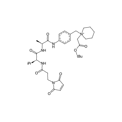 CC(C)[C@H](NC(=O)CCN1C(=O)C=CC1=O)C(=O)N[C@@H](C)C(=O)Nc1ccc(C[N+]2(CC(=O)OC(C)(C)C)CCCCC2)cc1